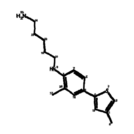 Cc1csc(-c2ccc(NCCCCCN)c(C)c2)c1